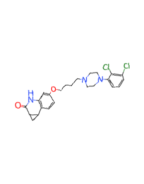 O=C1Nc2cc(OCCCCN3CCN(c4cccc(Cl)c4Cl)CC3)ccc2C2CC12